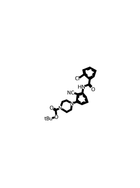 CC(C)(C)OC(=O)N1CCN(c2cccc(NC(=O)c3ccccc3Cl)c2C#N)CC1